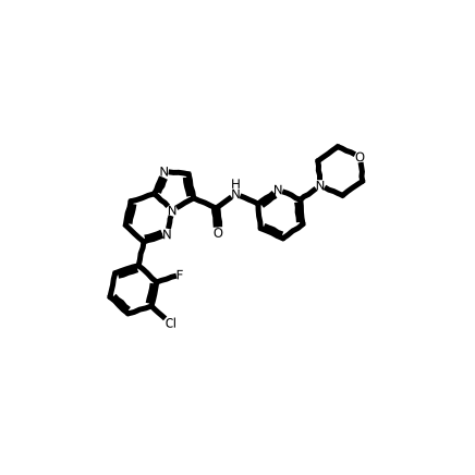 O=C(Nc1cccc(N2CCOCC2)n1)c1cnc2ccc(-c3cccc(Cl)c3F)nn12